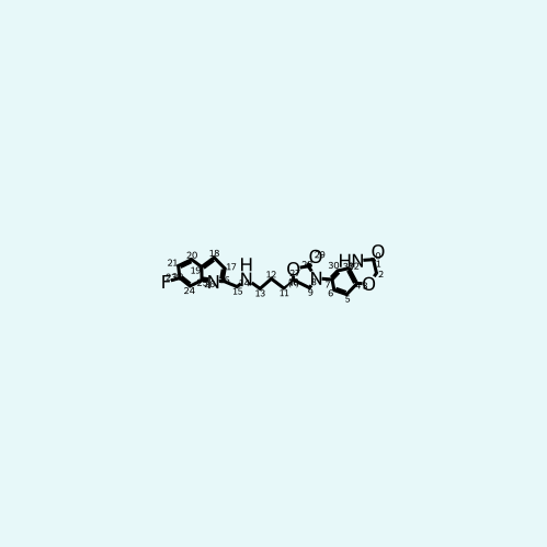 O=C1COc2ccc(N3C[C@@H](CCCNCc4ccc5ccc(F)cc5n4)OC3=O)cc2N1